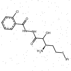 CC(C)SCC[C@@H](N)C(O)C(=O)NNC(=O)c1ccccc1Cl